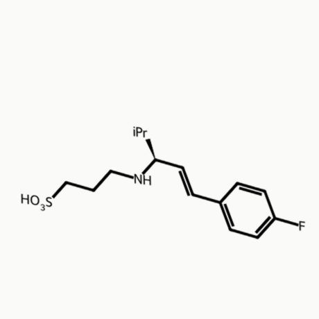 CC(C)[C@@H](/C=C/c1ccc(F)cc1)NCCCS(=O)(=O)O